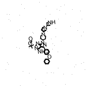 CC(C)(C)OC=O.Nc1ncnc2c1c(-c1ccc(Oc3ccccc3)cc1)nn2C1CCN(c2ccn(C3CNC3)c2)CC1